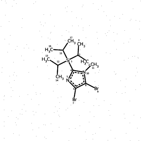 CC(C)[Si](c1nc(Br)c(Br)n1C)(C(C)C)C(C)C